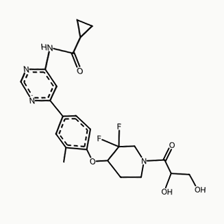 Cc1cc(-c2cc(NC(=O)C3CC3)ncn2)ccc1OC1CCN(C(=O)C(O)CO)CC1(F)F